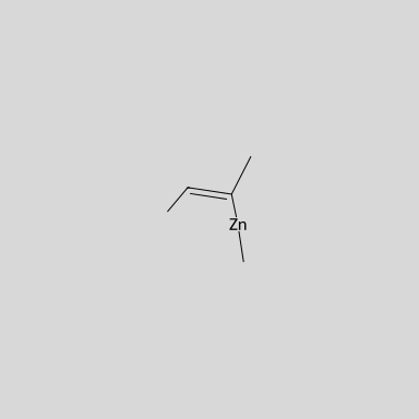 CC=[C](C)[Zn][CH3]